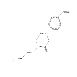 COCCCN1CCN(c2ccc(C=O)cc2)CC1=O